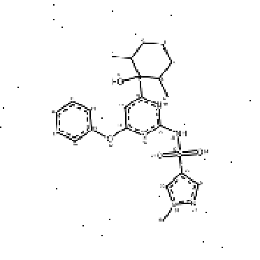 CC1CCCC(C)C1(O)c1cc(Oc2ccccc2)nc(NS(=O)(=O)c2cnn(C)c2)n1